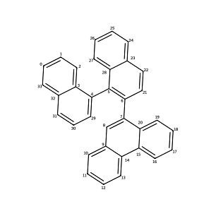 c1ccc2c(-c3c(-c4cc5ccccc5c5ccccc45)ccc4ccccc34)cccc2c1